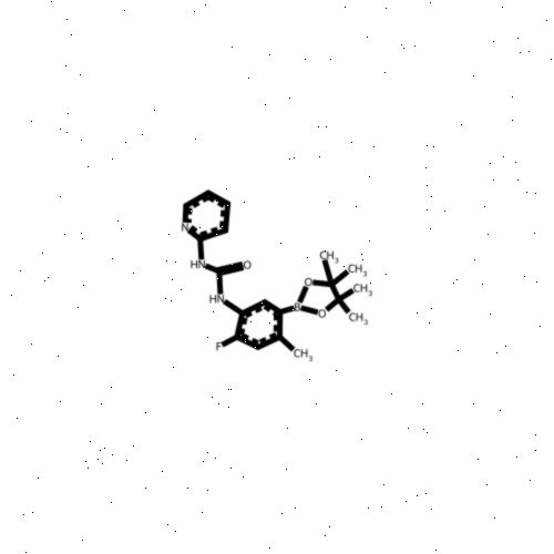 Cc1cc(F)c(NC(=O)Nc2ccccn2)cc1B1OC(C)(C)C(C)(C)O1